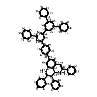 N=C(c1ccccc1)C(c1ccccc1)C1NC(c2ccccc2)=Cc2cc(-c3ccc(-c4cc(-c5cc(-c6ccccc6)cc(-c6ccccc6)c5)nc(-c5ccccc5)n4)cc3)ccc21